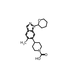 Cc1cc2cnn(C3CCCCO3)c2cc1C1CCN(C(=O)O)CC1